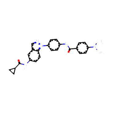 CN(C)c1ccc(C(=O)Nc2ccc(-n3ncc4cc(NC(=O)C5CC5)ccc43)cc2)cc1